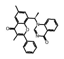 Cc1cc([C@@H](C)n2cnc(=O)c3ccccc32)c2oc(-c3ccccc3)c(C)c(=O)c2c1